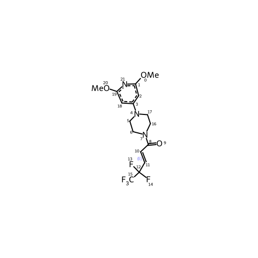 COc1cc(N2CCN(C(=O)/C=C/C(F)(F)C(F)(F)F)CC2)cc(OC)n1